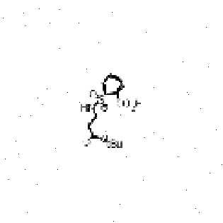 CC(C)(C)OC(=O)CCNS(=O)(=O)c1ccccc1C(=O)O